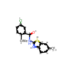 COc1ccc(Cl)cc1C(=O)Nc1nc2ccc(C(F)(F)F)cc2s1